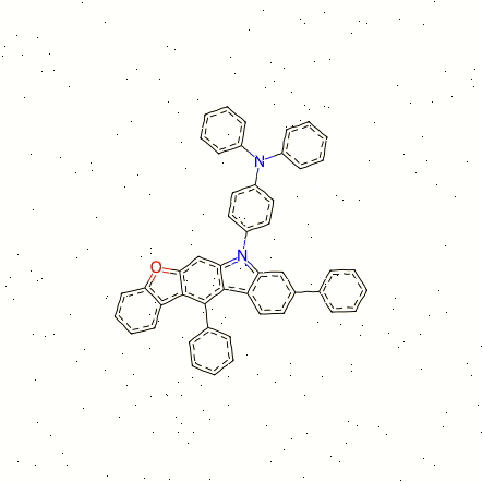 c1ccc(-c2ccc3c4c(-c5ccccc5)c5c(cc4n(-c4ccc(N(c6ccccc6)c6ccccc6)cc4)c3c2)oc2ccccc25)cc1